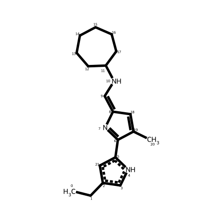 CCc1c[nH]c(C2=N/C(=C/NC3CCCCCC3)C=C2C)c1